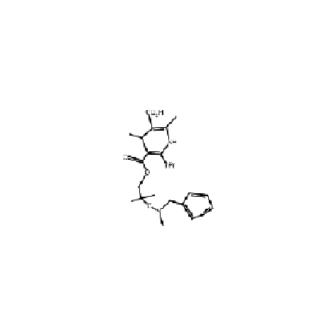 CCCC1=C(C(=O)OCC(C)(C)CN(C)Cc2ccccc2)C(C)C(C(=O)O)=C(C)N1